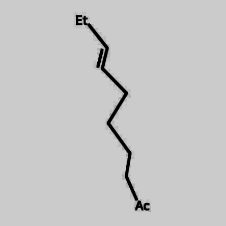 CCC=CCCCCC(C)=O